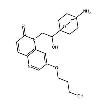 NC12CCC(C(O)Cn3c(=O)ccc4ncc(OCCCO)cc43)(CC1)OC2